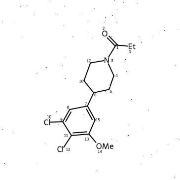 CCC(=O)N1CCC(c2cc(Cl)c(Cl)c(OC)c2)CC1